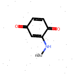 CCCCNC1=CC(=O)C=CC1=O